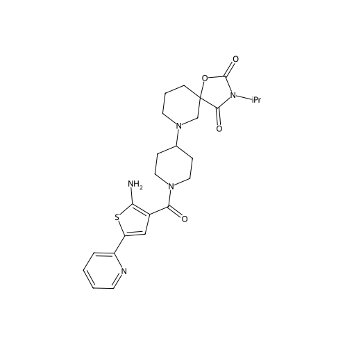 CC(C)N1C(=O)OC2(CCCN(C3CCN(C(=O)c4cc(-c5ccccn5)sc4N)CC3)C2)C1=O